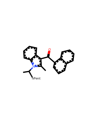 CCCCCC(C)n1c(C)c(C(=O)c2cccc3ccccc23)c2ccccc21